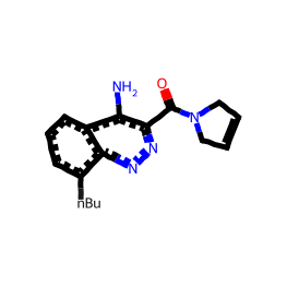 CCCCc1cccc2c(N)c(C(=O)N3CC=CC3)nnc12